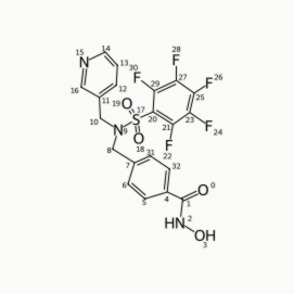 O=C(NO)c1ccc(CN(Cc2cccnc2)S(=O)(=O)c2c(F)c(F)c(F)c(F)c2F)cc1